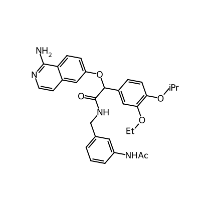 CCOc1cc(C(Oc2ccc3c(N)nccc3c2)C(=O)NCc2cccc(NC(C)=O)c2)ccc1OC(C)C